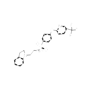 O=S(=O)(NCCN1CCc2ccccc21)c1ccc(Oc2ccc(C(F)(F)F)cn2)cc1